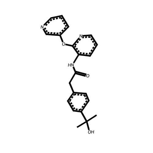 CC(C)(O)c1ccc(CC(=O)Nc2cccnc2Oc2cccnc2)cc1